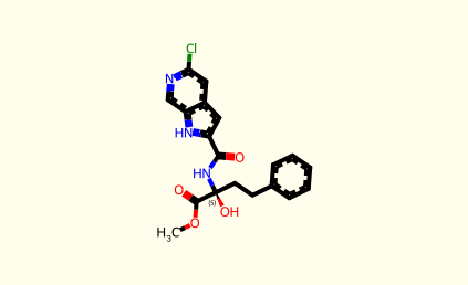 COC(=O)[C@@](O)(CCc1ccccc1)NC(=O)c1cc2cc(Cl)ncc2[nH]1